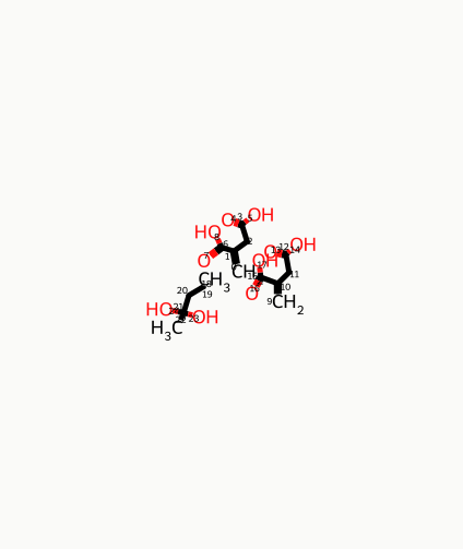 C=C(CC(=O)O)C(=O)O.C=C(CC(=O)O)C(=O)O.CCCC(C)(O)O